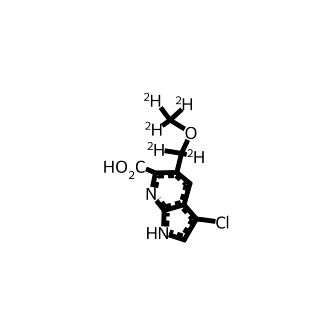 [2H]C([2H])([2H])OC([2H])([2H])c1cc2c(Cl)c[nH]c2nc1C(=O)O